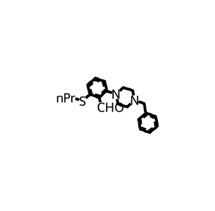 CCCSc1cccc(N2CCN(Cc3ccccc3)CC2)c1C=O